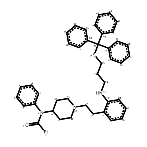 CCC(=O)N(c1ccccc1)C1CCN(CCc2ccccc2NCCCSC(c2ccccc2)(c2ccccc2)c2ccccc2)CC1